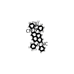 [C-]#[N+]c1ccccc1N(c1ccccc1)c1ccc2ccc3c(N(c4ccccc4C#N)c4ccccc4[Si](C)(C)C)ccc4ccc1c2c43